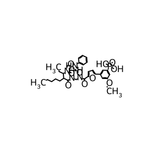 CCCCCC(C(=O)NCNC(=O)c1ccc(-c2cc(OCC)cc(P(=O)(O)O)c2)o1)C(CC)N(C=O)OC(=O)Nc1ccccc1